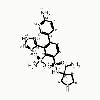 NC[C@@]1(NS(=O)(=O)c2ccc(-c3ccc(N)nc3)c(-c3nn[nH]n3)c2S(N)(=O)=O)CCNC1